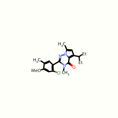 CCC(CC)c1cc(C)n2nc(-c3cc(C)c(OC)cc3Cl)n(C)c(=O)c12